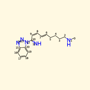 CNCCCC/C=C/C=C\C(=N)n1nnc2ccccc21